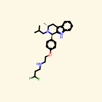 CC(C)CN1[C@H](c2ccc(OCCNCCC(F)F)cc2)c2[nH]c3ccccc3c2C[C@H]1C